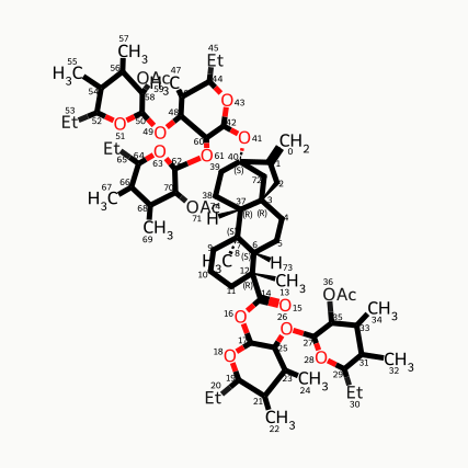 C=C1C[C@@]23CC[C@H]4[C@@](C)(CCC[C@@]4(C)C(=O)OC4OC(CC)C(C)C(C)C4OC4OC(CC)C(C)C(C)C4OC(C)=O)[C@@H]2CC[C@]1(OC1OC(CC)C(C)C(OC2OC(CC)C(C)C(C)C2OC(C)=O)C1OC1OC(CC)C(C)C(C)C1OC(C)=O)C3